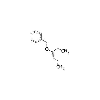 C=C/C=C(\CC)OCc1ccccc1